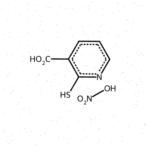 O=C(O)c1cccnc1S.O=[N+]([O-])O